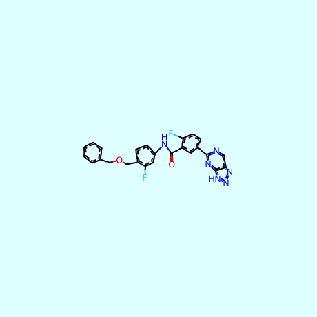 O=C(Nc1ccc(COCc2ccccc2)c(F)c1)c1cc(-c2ncc3nn[nH]c3n2)ccc1F